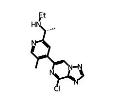 CCN[C@H](C)c1cc(-c2cn3ncnc3c(Cl)n2)c(C)cn1